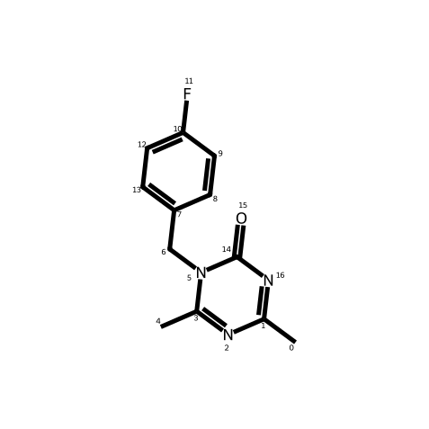 Cc1nc(C)n(Cc2ccc(F)cc2)c(=O)n1